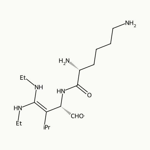 CCNC(NCC)=C(C(C)C)[C@@H]([C]=O)NC(=O)[C@H](N)CCCCN